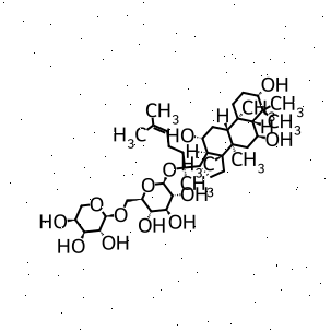 CC(C)=CCC[C@](C)(O[C@@H]1O[C@H](CO[C@@H]2OC[C@H](O)[C@H](O)[C@H]2O)[C@@H](O)[C@H](O)[C@H]1O)[C@H]1CC[C@]2(C)[C@@H]1[C@H](O)C[C@@H]1[C@@]3(C)CC[C@H](O)C(C)(C)[C@@H]3[C@@H](O)C[C@]12C